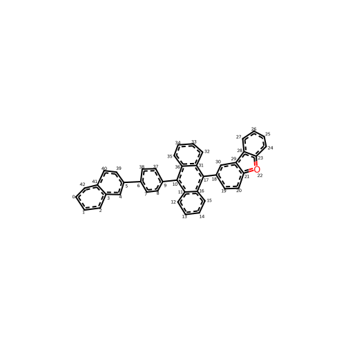 c1ccc2cc(-c3ccc(-c4c5ccccc5c(-c5ccc6oc7ccccc7c6c5)c5ccccc45)cc3)ccc2c1